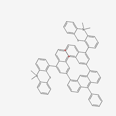 C[Si]1(C)c2ccccc2Sc2c(-c3cc(-c4cccc5c(-c6ccccc6)c6cccc(-c7cc(-c8cccc9c8Sc8ccccc8[Si]9(C)C)c8ccccc8c7)c6cc45)cc4ccccc34)cccc21